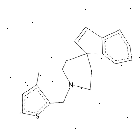 Cc1c[c]sc1CN1CCC2(C=Cc3ccccc32)CC1